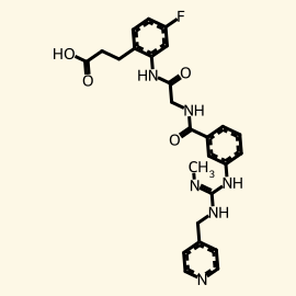 CN=C(NCc1ccncc1)Nc1cccc(C(=O)NCC(=O)Nc2cc(F)ccc2CCC(=O)O)c1